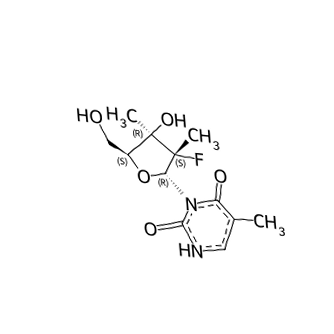 Cc1c[nH]c(=O)n([C@@H]2O[C@@H](CO)[C@@](C)(O)[C@]2(C)F)c1=O